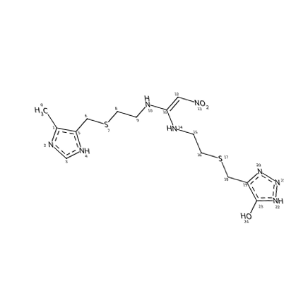 Cc1nc[nH]c1CSCCNC(=C[N+](=O)[O-])NCCSCc1nn[nH]c1O